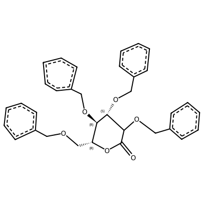 O=C1O[C@H](COCc2ccccc2)[C@@H](OCc2ccccc2)[C@H](OCc2ccccc2)C1OCc1ccccc1